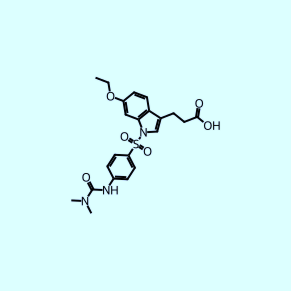 CCOc1ccc2c(CCC(=O)O)cn(S(=O)(=O)c3ccc(NC(=O)N(C)C)cc3)c2c1